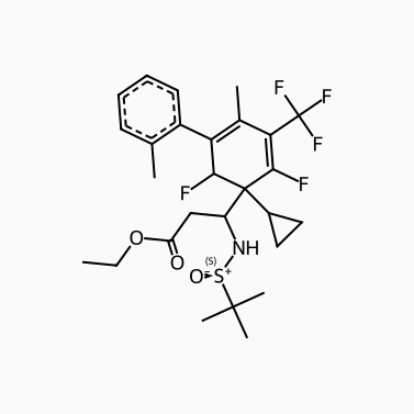 CCOC(=O)CC(N[S@+]([O-])C(C)(C)C)C1(C2CC2)C(F)=C(C(F)(F)F)C(C)=C(c2ccccc2C)C1F